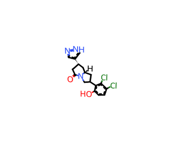 O=C1C[C@H](c2cn[nH]c2)C[C@@H]2CC(c3c(O)ccc(Cl)c3Cl)CN12